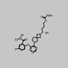 CCN(C(=O)c1cc(F)ccc1Oc1nncnc1N1CCC2(C1)CN([C@H](CCCOC(=O)NC)C(C)C)C2)C(C)C